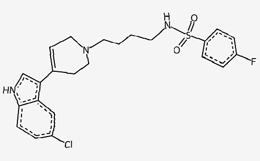 O=S(=O)(NCCCCN1CC=C(c2c[nH]c3ccc(Cl)cc23)CC1)c1ccc(F)cc1